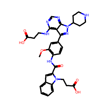 COc1cc(-c2nn(C3CCNCC3)c3ncnc(NCCC(=O)O)c23)ccc1NC(=O)c1cc2ccccc2n1CCC(=O)O